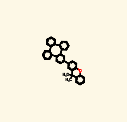 CC1(C)c2ccccc2Oc2ccc(-c3ccc4c(c3)-c3ccccc3-c3ccccc3-c3ccccc3-4)cc21